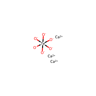 [Ca+2].[Ca+2].[Ca+2].[O-][Te]([O-])([O-])([O-])([O-])[O-]